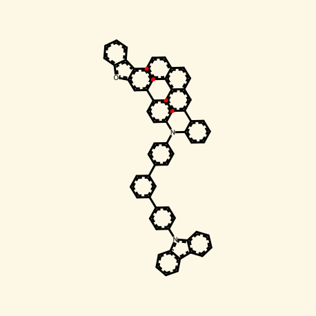 c1cc(-c2ccc(N(c3ccc(-c4ccc5c(c4)oc4ccccc45)cc3)c3ccccc3-c3ccc4c(ccc5ccccc54)c3)cc2)cc(-c2ccc(-n3c4ccccc4c4ccccc43)cc2)c1